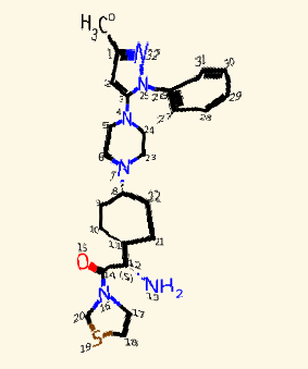 Cc1cc(N2CCN([C@H]3CC[C@H]([C@H](N)C(=O)N4CCSC4)CC3)CC2)n(-c2ccccc2)n1